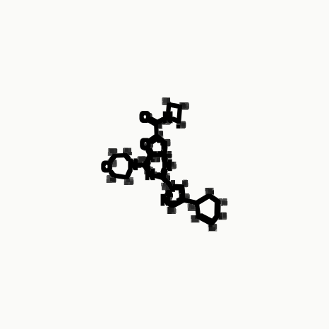 O=C(c1cc2nc(-n3cc(C4C=CC=CC4)cn3)nc(N3CCOCC3)c2o1)N1CCC1